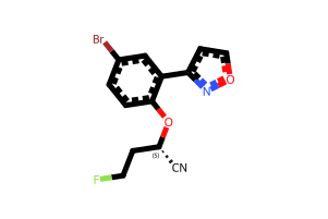 N#C[C@H](CCF)Oc1ccc(Br)cc1-c1ccon1